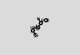 Cn1cc(-c2cc(Nc3nccc(-c4ccc(OC5CCOCC5)c(C#N)c4)n3)ccn2)cn1